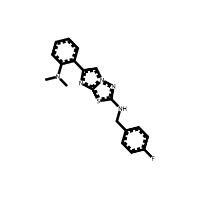 CN(C)c1ccccc1-c1cn2nc(NCc3ccc(F)cc3)sc2n1